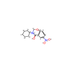 O=C1c2cc([N+](=O)[O-])ccc2OCN1C1CCCCC1